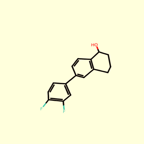 OC1CCCc2cc(-c3ccc(F)c(F)c3)ccc21